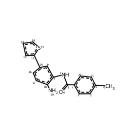 Cc1ccc(C(=O)Nc2cc(-c3cccs3)ccc2N)cc1